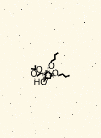 CCCCOC[C@H]1[C@H](C2COC(C)(C)O2)[C@H](O)C[C@@H]1OCCCC